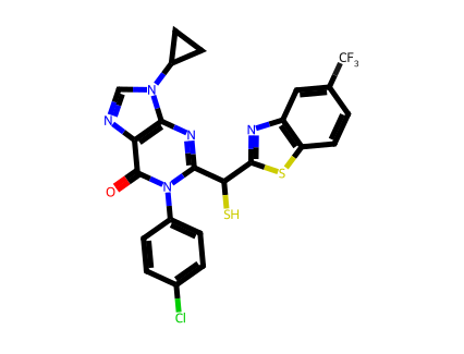 O=c1c2ncn(C3CC3)c2nc(C(S)c2nc3cc(C(F)(F)F)ccc3s2)n1-c1ccc(Cl)cc1